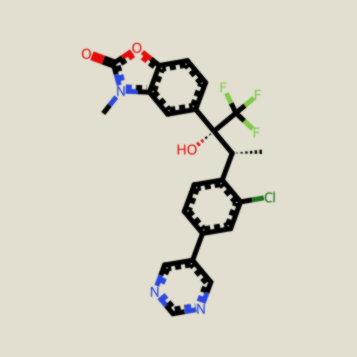 C[C@H](c1ccc(-c2cncnc2)cc1Cl)[C@@](O)(c1ccc2oc(=O)n(C)c2c1)C(F)(F)F